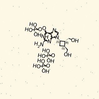 Nc1nc2c(ncn2[C@H]2C[C@H](CO)[C@H]2CO)c(=O)[nH]1.O=P(O)(O)O.O=P(O)(O)O.O=P(O)(O)O